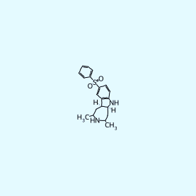 CC1C[C@@H]2Nc3ccc(S(=O)(=O)c4ccccc4)cc3[C@@H]2CC(C)N1